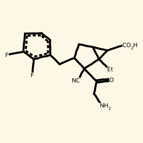 CCC12C(CC(Cc3cccc(F)c3F)C1(C#N)C(=O)CN)C2C(=O)O